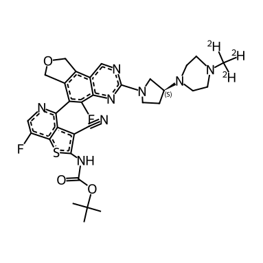 [2H]C([2H])([2H])N1CCN([C@H]2CCN(c3ncc4c5c(c(-c6ncc(F)c7sc(NC(=O)OC(C)(C)C)c(C#N)c67)c(F)c4n3)COC5)C2)CC1